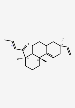 C=C[C@@]1(C)CC=C2C(CCC3[C@](C)(C(=O)/C=C/C)CCC[C@@]23C)C1